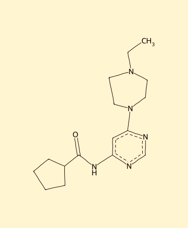 CCN1CCN(c2cc(NC(=O)C3CCCC3)ncn2)CC1